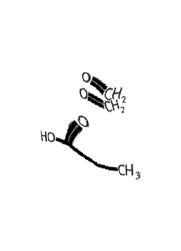 C=O.C=O.CCC(=O)O